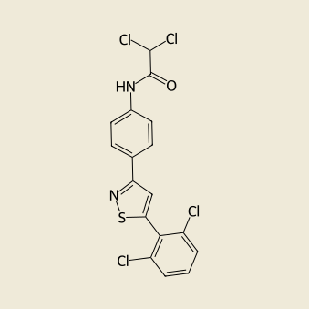 O=C(Nc1ccc(-c2cc(-c3c(Cl)cccc3Cl)sn2)cc1)C(Cl)Cl